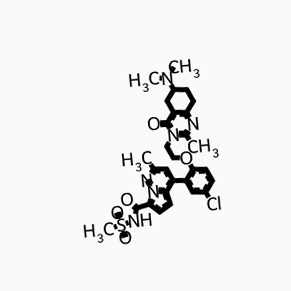 Cc1cc(-c2cc(Cl)ccc2OCCn2c(C)nc3c(c2=O)CC(N(C)C)CC3)c2ccc(C(=O)NS(C)(=O)=O)n2n1